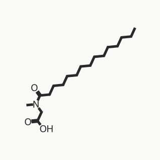 CCCCCCCCCCCCCCC(=O)N(C)CC(=O)O